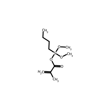 C=C(C)C(=O)O[Si](CCCC)(OC)OC